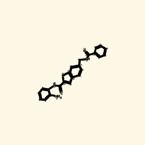 Nc1ccccc1NC(=O)c1cc2ccc(CNC(=O)c3ccccc3)cc2s1